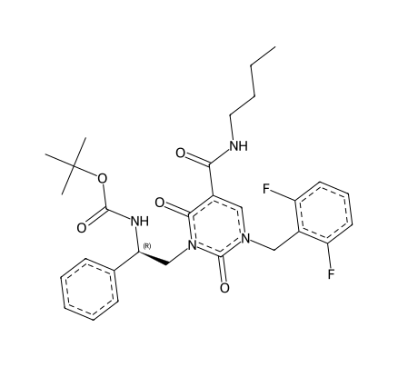 CCCCNC(=O)c1cn(Cc2c(F)cccc2F)c(=O)n(C[C@H](NC(=O)OC(C)(C)C)c2ccccc2)c1=O